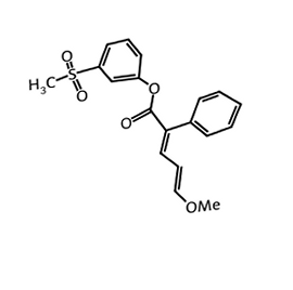 COC=CC=C(C(=O)Oc1cccc(S(C)(=O)=O)c1)c1ccccc1